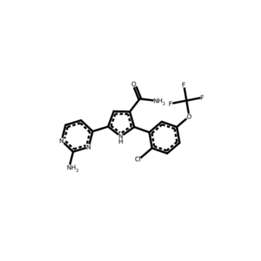 NC(=O)c1cc(-c2ccnc(N)n2)[nH]c1-c1cc(OC(F)(F)F)ccc1Cl